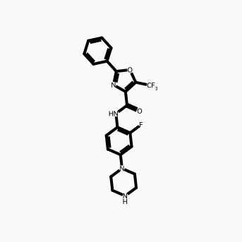 O=C(Nc1ccc(N2CCNCC2)cc1F)c1nc(-c2ccccc2)oc1C(F)(F)F